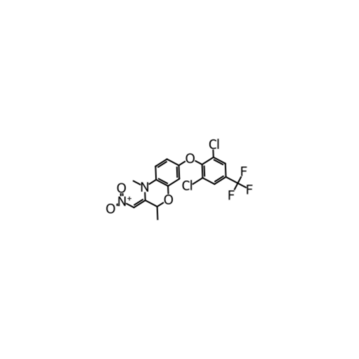 CC1Oc2cc(Oc3c(Cl)cc(C(F)(F)F)cc3Cl)ccc2N(C)C1=C[N+](=O)[O-]